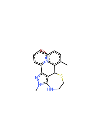 Cc1ccc(Br)cc1C1SCCNc2c1c(-c1ccccn1)nn2C